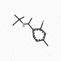 Cc1ccc(C(C)NC(C)(C)C)c(F)c1